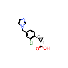 O=C(O)[C@H]1C[C@@H]1c1ccc(Cn2ccnc2)cc1Cl